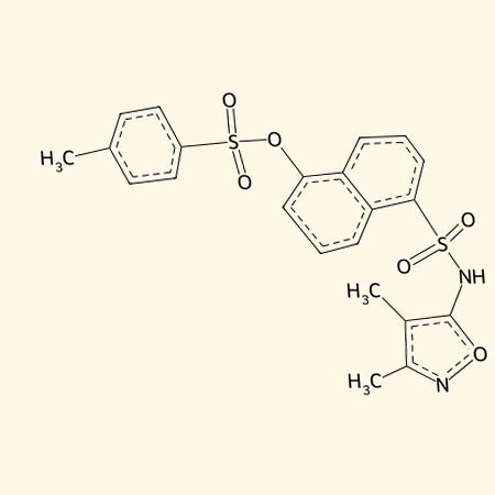 Cc1ccc(S(=O)(=O)Oc2cccc3c(S(=O)(=O)Nc4onc(C)c4C)cccc23)cc1